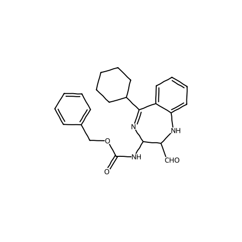 O=CC1Nc2ccccc2C(C2CCCCC2)=NC1NC(=O)OCc1ccccc1